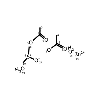 CC(=O)[O-].CC(=O)[O-].C[S+](C)[O-].O.O.[Zn+2]